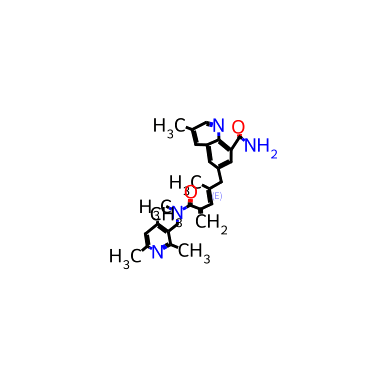 C=C(/C=C(\C)Cc1cc(C(N)=O)c2ncc(C)cc2c1)C(=O)N(C)Cc1c(C)cc(C)nc1C